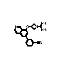 N#Cc1cccc(-c2cc(OC3CN(C(=N)N)C3)c3cnccc3c2)c1